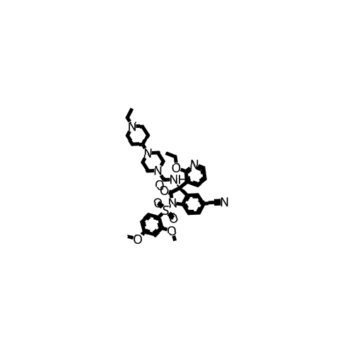 CCOc1ncccc1[C@]1(NC(=O)N2CCN(C3CCN(CC)CC3)CC2)C(=O)N(S(=O)(=O)c2ccc(OC)cc2OC)c2ccc(C#N)cc21